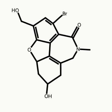 CN1CC2=C3c4c(c(CO)cc(Br)c4C1=O)OC3CC(O)C2